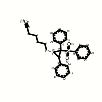 C#CCCCCC[C@H]1C(c2ccccc2)C1(c1ccccc1)S(=O)(=O)c1ccccc1